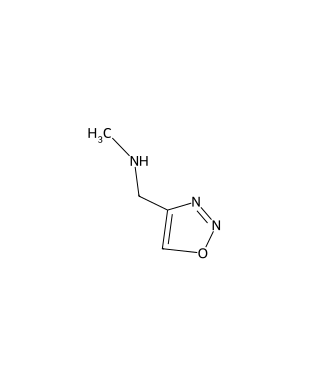 CNCc1conn1